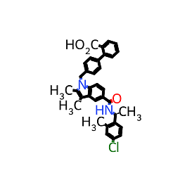 Cc1cc(Cl)ccc1[C@@H](C)NC(=O)c1ccc2c(c1)c(C)c(C)n2Cc1ccc(-c2ccccc2C(=O)O)cc1